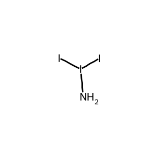 NI(I)I